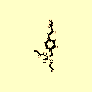 CCOP(=O)(Cc1ccc(C=CC#N)cc1)OCC